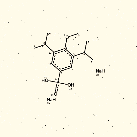 COc1c(C(C)C)cc(P(=O)(O)O)cc1C(C)C.[NaH].[NaH]